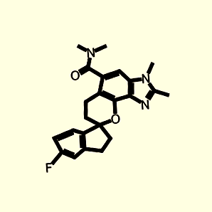 Cc1nc2c3c(c(C(=O)N(C)C)cc2n1C)CCC1(CCc2cc(F)ccc21)O3